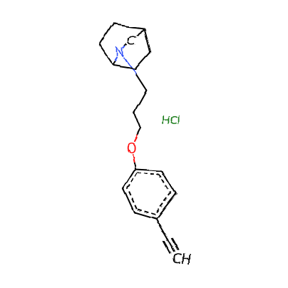 C#Cc1ccc(OCCCN2CC3CCC2CC3)cc1.Cl